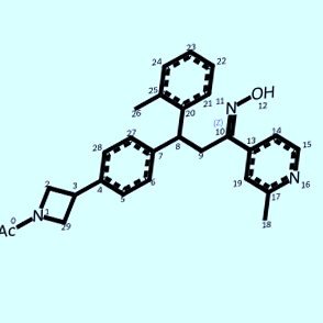 CC(=O)N1CC(c2ccc(C(C/C(=N/O)c3ccnc(C)c3)c3ccccc3C)cc2)C1